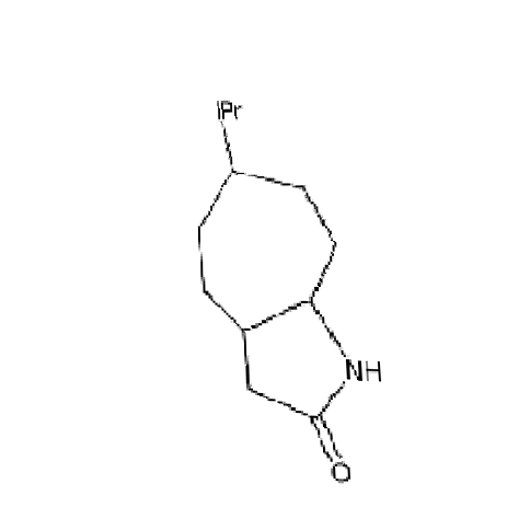 CC(C)C1CCC2CC(=O)NC2CC1